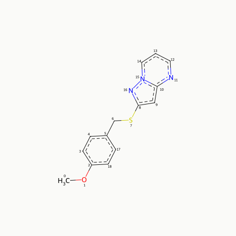 COc1ccc(CSc2cc3ncccn3n2)cc1